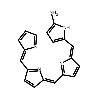 Nc1ccc(C=C2C=CC(C=C3C=CC(C=C4C=CC=N4)=N3)=N2)[nH]1